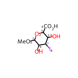 COC1OC(C(=O)O)C(O)C(I)C1O